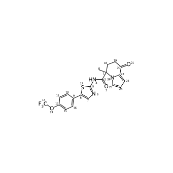 CC1(C(=O)Nc2ncc(-c3ccc(OC(F)(F)F)cc3)s2)CCC(=O)c2cccn21